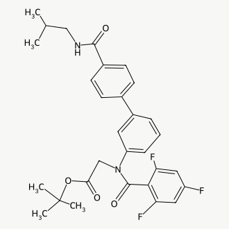 CC(C)CNC(=O)c1ccc(-c2cccc(N(CC(=O)OC(C)(C)C)C(=O)c3c(F)cc(F)cc3F)c2)cc1